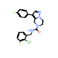 O=C(NCc1cccc(F)c1Cl)N1CCn2ncc(-c3ccc(F)cc3)c2C1